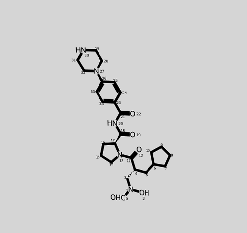 O=CN(O)C[C@@H](CC1CCCC1)C(=O)N1CCC[C@H]1C(=O)NC(=O)c1ccc(N2CCNCC2)cc1